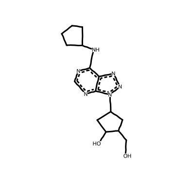 OCC1CC(n2nnc3c(NC4CCCC4)ncnc32)CC1O